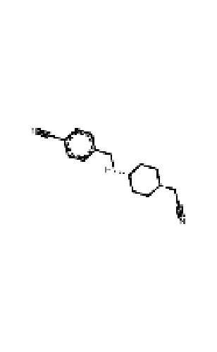 N#CC[C@H]1CC[C@H](NCc2ccc(C#N)cc2)CC1